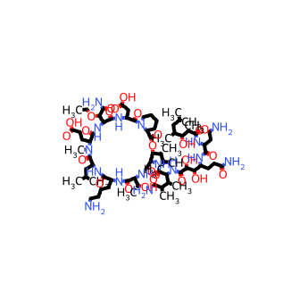 CCOC(C(N)=O)C1NC(=O)C(CCC(=O)O)N(C)C(=O)C(CC(C)C)NC(=O)C(CCCCN)NC(=O)C(C(C)O)NC(=O)C(NC(=O)C(NC(=O)C(O)C(O)C(CCC(N)=O)NC(=O)C(CC(N)=O)NC(=O)C(C)C(O)C(C)CC(C)C)C(C)C(C)C(N)=O)C(C(C)C(C)C)OC(=O)C2CCCCN2C(=O)C(CC(=O)O)NC1=O